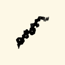 O=C(O)CCC(=O)Nc1cccc(-c2cnc3cc(-c4ccc(F)cc4)ccn23)c1